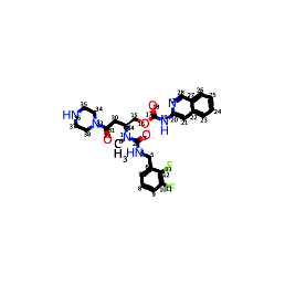 CN(C(=O)NCc1cccc(F)c1F)[C@H](COC(=O)Nc1cc2ccccc2cn1)CC(=O)N1CCNCC1